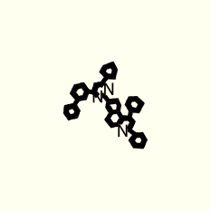 C1=Cc2nc(-c3ccccc3)cc(-c3ccccc3)c2C2CC=C(c3nc(-c4ccccc4)cc(-c4cccc(-c5ccccc5)c4)n3)C=C12